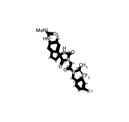 CNC(=O)Nc1cc2c(cc1F)C1(CC2)NC(=O)N(CC(=O)N(Cc2ccc(F)cc2)[C@@H](C)C(F)(F)F)C1=O